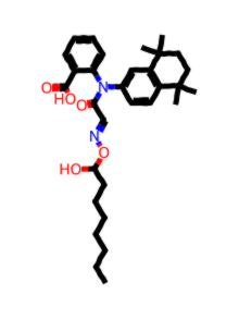 CCCCCCCC(O)ON=CC(=O)N(c1ccc2c(c1)C(C)(C)CCC2(C)C)c1ccccc1C(=O)O